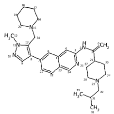 C=C(Nc1cc2cc(-c3cnn(C)c3CN3CCCCC3)ccc2cn1)C1CCN(CC(C)C)CC1